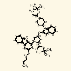 C=CCOCc1nc(N2C[C@@H](Oc3nc4ccccc4n3C3CCN(C(=O)OC(C)(C)C)CC3)C[C@H]2C(=O)OC(C)(C)C)c2oc3ccccc3c2n1